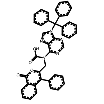 O=C(O)N(Cc1oc(=O)c2ccccc2c1-c1ccccc1)c1ncnc2c1ncn2C(c1ccccc1)(c1ccccc1)c1ccccc1